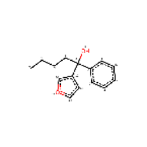 CCCCC(O)(c1ccccc1)c1ccoc1